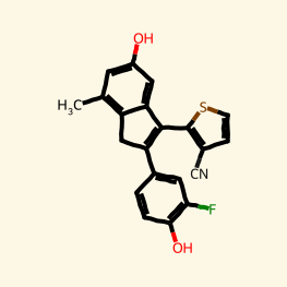 Cc1cc(O)cc2c1CC(c1ccc(O)c(F)c1)=C2c1sccc1C#N